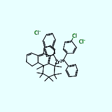 CC12C(=C3Cc4ccccc4C3=C3C=CCCC31)[C](C)([Zr+2](=[C](c1ccccc1)c1ccc(Cl)cc1)[CH]1C=CC=C1)C(C)(C)C(C)(C)C2(C)C.[Cl-].[Cl-]